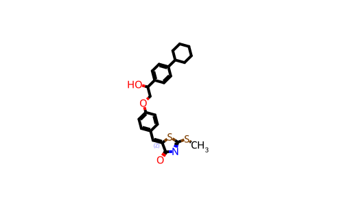 CSC1=NC(=O)/C(=C/c2ccc(OCC(O)c3ccc(C4CCCCC4)cc3)cc2)S1